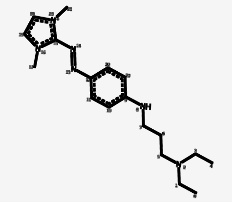 CCN(CC)CCCNc1ccc(/N=N/c2n(C)cc[n+]2C)cc1